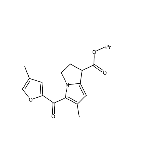 Cc1coc(C(=O)c2c(C)cc3n2CCC3C(=O)OC(C)C)c1